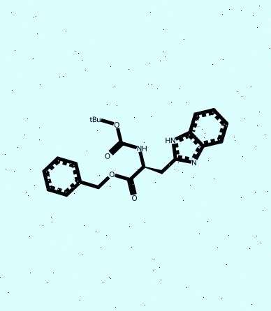 CC(C)(C)OC(=O)N[C@@H](Cc1nc2ccccc2[nH]1)C(=O)OCc1ccccc1